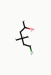 CC(O)CC(C)(C)CCCl